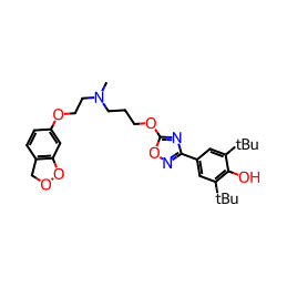 CN(CCCOc1nc(-c2cc(C(C)(C)C)c(O)c(C(C)(C)C)c2)no1)CCOc1ccc2c(c1)OOC2